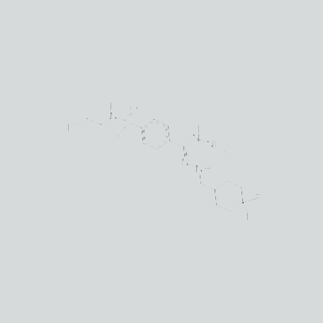 NN/C(=N\NCC1CCC(F)(F)CC1)c1ccc(S(=O)(=O)NCCO)cc1